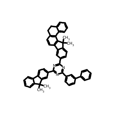 CC1(C)c2ccccc2-c2ccc(-c3nc(-c4cccc(-c5ccccc5)c4)nc(-c4ccc5c(c4)-c4ccc6c(c4C5(C)C)-c4ccccc4CC6)n3)cc21